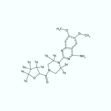 [2H]C1([2H])CN(C(=O)C2OC([2H])([2H])C([2H])([2H])C2([2H])[2H])CC([2H])([2H])N1c1nc(N)c2cc(OC)c(OC)cc2n1